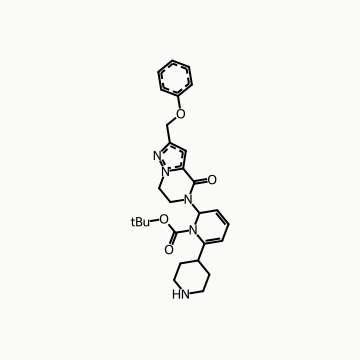 CC(C)(C)OC(=O)N1C(C2CCNCC2)=CC=CC1N1CCn2nc(COc3ccccc3)cc2C1=O